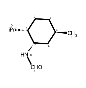 CC(C)[C@@H]1CC[C@@H](C)C[C@@H]1NC=O